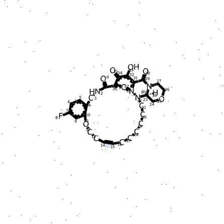 O=C1NCc2ccc(F)cc2OCC/C=C\CCCCCCN2[C@@H]3COCCN3C(=O)c3c(O)c(=O)c1cn32